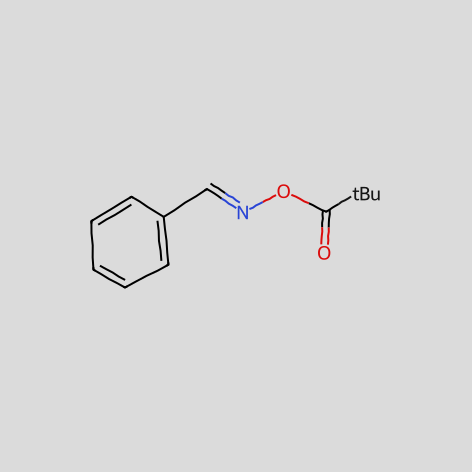 CC(C)(C)C(=O)ON=Cc1ccccc1